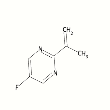 C=C(C)c1ncc(F)cn1